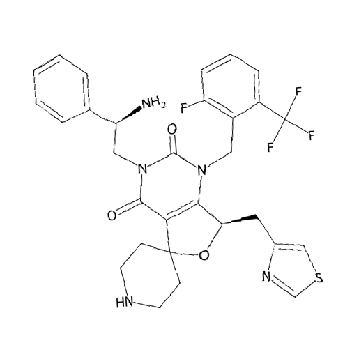 N[C@@H](Cn1c(=O)c2c(n(Cc3c(F)cccc3C(F)(F)F)c1=O)[C@@H](Cc1cscn1)OC21CCNCC1)c1ccccc1